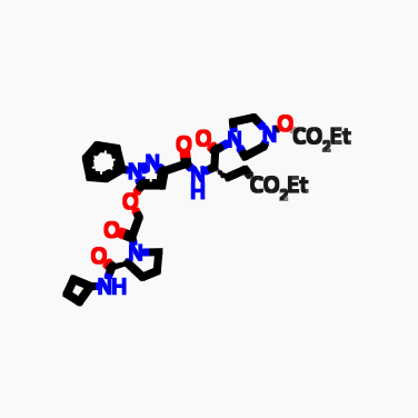 CCOC(=O)CC[C@H](NC(=O)c1cc(OCC(=O)N2CCC[C@H]2C(=O)NC2CCC2)n(-c2ccccc2)n1)C(=O)N1CCN(OC(=O)OCC)CC1